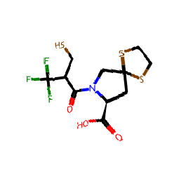 O=C(O)[C@@H]1CC2(CN1C(=O)C(CS)C(F)(F)F)SCCS2